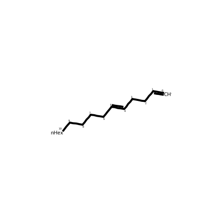 [CH]=CCCC=CCCCCCCCCCC